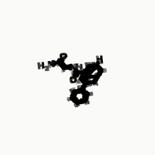 NC(=O)CNC(=O)C12CC3C[C@@H](C1)CC(c1ccccc1)(C3)C2